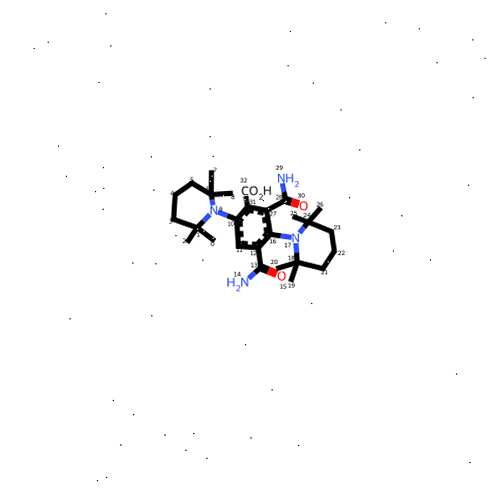 CC1(C)CCCC(C)(C)N1c1cc(C(N)=O)c(N2C(C)(C)CCCC2(C)C)c(C(N)=O)c1C(=O)O